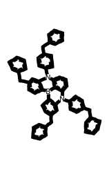 c1ccc(Cc2ccc(N3c4cc(Cc5ccccc5)ccc4B4c5ccc(Cc6ccccc6)cc5N(c5ccc(Cc6ccccc6)cc5)c5cccc3c54)cc2)cc1